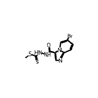 CSC(=S)NNC(=O)c1cnc2ccc(Br)cn12